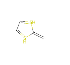 [CH]=C1[SH]=CC=[SH]1